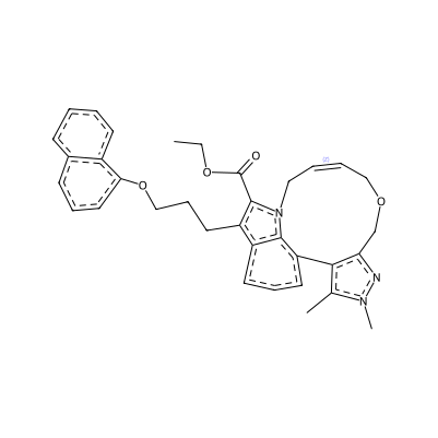 CCOC(=O)c1c(CCCOc2cccc3ccccc23)c2cccc3c2n1C/C=C\COCc1nn(C)c(C)c1-3